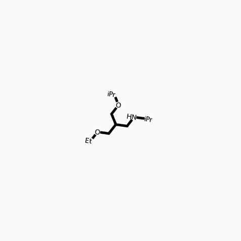 CCOCC(CNC(C)C)COC(C)C